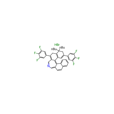 Br.CCCCC1(CCCC)CC(c2cc(F)c(F)c(F)c2)=CC2=C1CC(c1cc(F)c(F)c(F)c1)=C1C=NC=c3ccc4ccccc4c3=C12